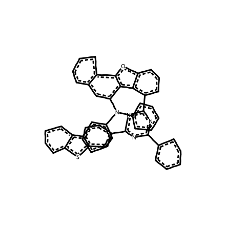 c1ccc(-c2nc(-c3ccccc3)nc(-c3cccc4oc5c6ccccc6cc(N(c6ccccc6)c6ccc7sc8ccccc8c7c6)c5c34)n2)cc1